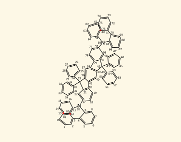 c1ccc(-c2ccccc2N(c2ccccc2)c2ccc3c(c2)C(c2ccccc2)(c2ccccc2)c2cc4c(cc2-3)C(c2ccccc2)(c2ccccc2)c2cc(N(c3ccccc3)c3ccccc3-c3ccccc3)ccc2-4)cc1